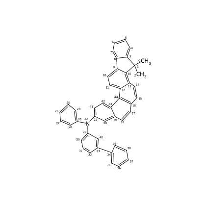 CC1(C)c2ccccc2-c2ccc3c(ccc4ccc5cc(N(c6ccccc6)c6cccc(-c7ccccc7)c6)ccc5c43)c21